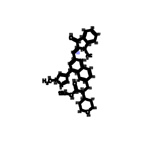 CC(=O)N1/C(=C\c2cc(-c3cnn(C)c3)c3cc(CN(C(=O)OC(C)(C)C)C4CCOCC4)ccc3n2)C(=O)c2ccccc21